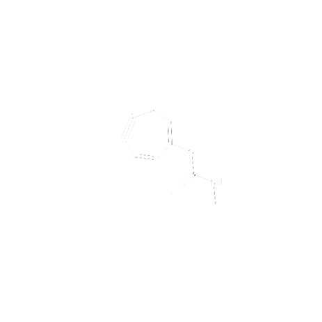 CNC(=O)NC1=CCC#CC=C1